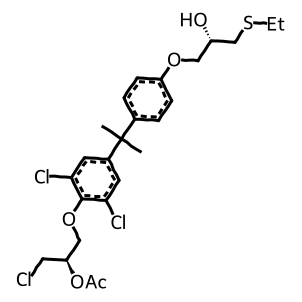 CCSC[C@@H](O)COc1ccc(C(C)(C)c2cc(Cl)c(OC[C@H](CCl)OC(C)=O)c(Cl)c2)cc1